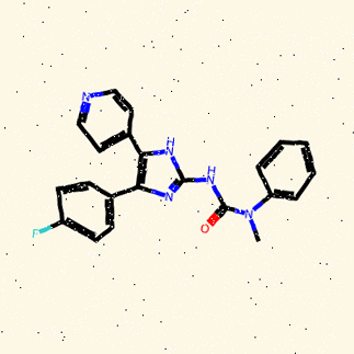 CN(C(=O)Nc1nc(-c2ccc(F)cc2)c(-c2ccncc2)[nH]1)c1ccccc1